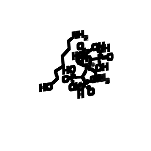 CC[N+](CC)(C(P(=O)(O)O)P(=O)(O)O)C(P(=O)(O)O)P(=O)(O)O.NCCCCCCO